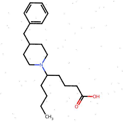 CCCCC(CCCC(=O)O)N1CCC(Cc2ccccc2)CC1